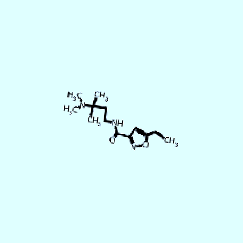 CCc1cc(C(=O)NCCC(C)(C)N(C)C)no1